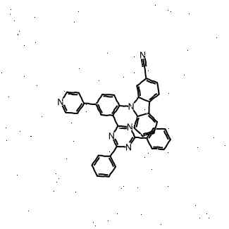 N#Cc1ccc2c3ccccc3n(-c3ccc(-c4ccncc4)cc3-c3nc(-c4ccccc4)nc(-c4ccccc4)n3)c2c1